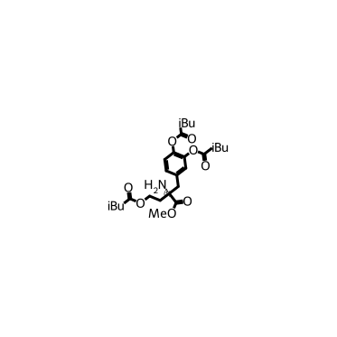 CCC(C)C(=O)OCC[C@@](N)(Cc1ccc(OC(=O)C(C)CC)c(OC(=O)C(C)CC)c1)C(=O)OC